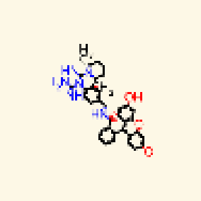 C[C@@H]1CCC[C@H](C)N1C(=N)N(C(=N)N)c1ccc(CNC(=O)c2ccccc2-c2c3ccc(=O)cc-3oc3cc(O)ccc23)cc1